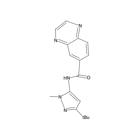 Cn1nc(C(C)(C)C)cc1NC(=O)c1ccc2nccnc2c1